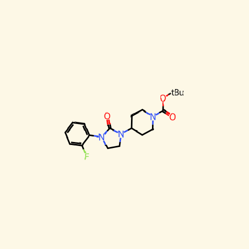 CC(C)(C)OC(=O)N1CCC(N2CCN(c3ccccc3F)C2=O)CC1